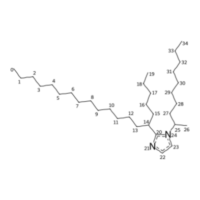 CCCCCCCCCCCCCCC(CCCCC)c1nccn1C(C)CCCCCCCC